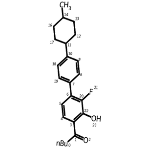 CCCCC(=O)c1ccc(-c2ccc(C3CCC(C)CC3)cc2)c(F)c1O